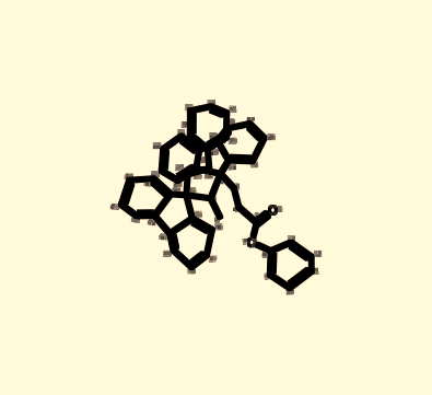 CC(C1(CCC(=O)Oc2ccccc2)c2ccccc2-c2ccccc21)C1(CCc2ccccc2)c2ccccc2-c2ccccc21